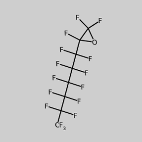 FC(F)(F)C(F)(F)C(F)(F)C(F)(F)C(F)(F)C(F)(F)C1(F)OC1(F)F